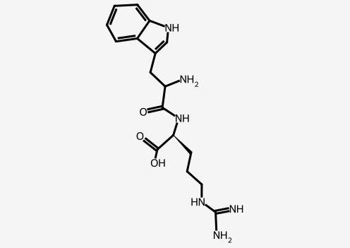 N=C(N)NCCC[C@H](NC(=O)C(N)Cc1c[nH]c2ccccc12)C(=O)O